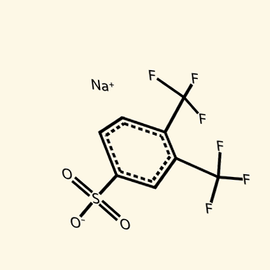 O=S(=O)([O-])c1ccc(C(F)(F)F)c(C(F)(F)F)c1.[Na+]